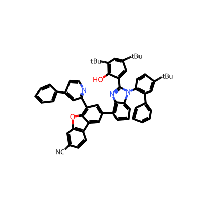 CC(C)(C)c1ccc(-n2c(-c3cc(C(C)(C)C)cc(C(C)(C)C)c3O)nc3c(-c4cc(-c5cc(-c6ccccc6)ccn5)c5oc6cc(C#N)ccc6c5c4)cccc32)c(-c2ccccc2)c1